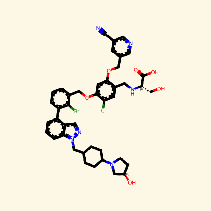 N#Cc1cncc(COc2cc(OCc3cccc(-c4cccc5c4cnn5CC4CCC(N5CC[C@@H](O)C5)CC4)c3Br)c(Cl)cc2CN[C@@H](CO)C(=O)O)c1